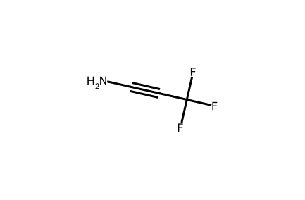 NC#CC(F)(F)F